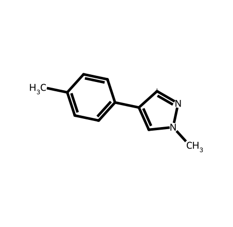 Cc1ccc(-c2[c]nn(C)c2)cc1